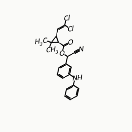 CC1(C)[C@H](C(=O)OC(C#N)c2cccc(Nc3ccccc3)c2)[C@@H]1C=C(Cl)Cl